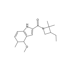 CCC1CN(C(=O)c2cc3c([nH]2)C=CC(C)C3OC)C1(C)C